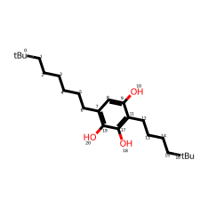 CC(C)(C)CCCCCCc1cc(O)c(CCCCC(C)(C)C)c(O)c1O